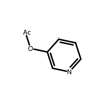 CC(=O)Oc1[c]ccnc1